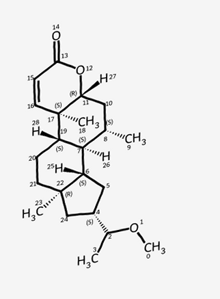 COC(C)[C@H]1C[C@H]2[C@@H]3[C@@H](C)C[C@H]4OC(=O)C=C[C@]4(C)[C@H]3CC[C@]2(C)C1